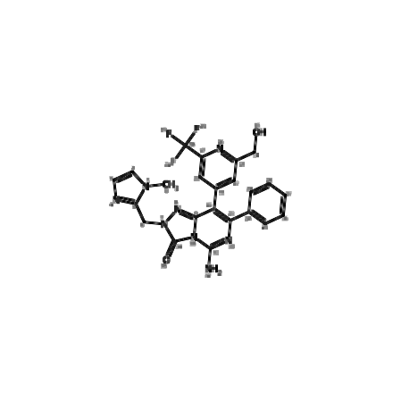 Cn1ccnc1Cn1nc2c(-c3cc(CO)nc(C(F)(F)F)c3)c(-c3ccccc3)nc(N)n2c1=O